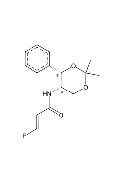 CC1(C)OC[C@H](NC(=O)C=CF)[C@H](c2ccccc2)O1